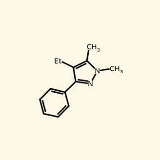 CCc1c(-c2ccccc2)nn(C)c1C